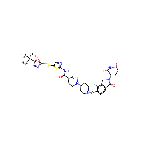 CC(C)(C)c1cnc(CSc2cnc(NC(=O)C3CCN(C4CCN(Cc5ccc6c(c5F)CN(C5CCC(=O)NC5=O)C6=O)CC4)CC3)s2)o1